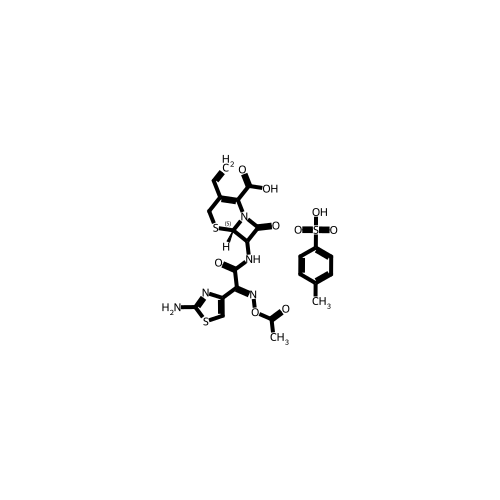 C=CC1=C(C(=O)O)N2C(=O)C(NC(=O)C(=NOC(C)=O)c3csc(N)n3)[C@@H]2SC1.Cc1ccc(S(=O)(=O)O)cc1